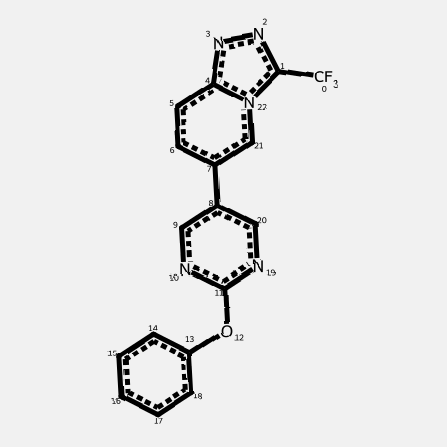 FC(F)(F)c1nnc2ccc(-c3cnc(Oc4ccccc4)nc3)cn12